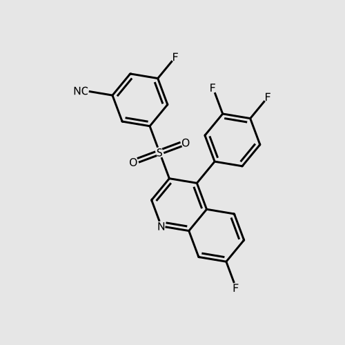 N#Cc1cc(F)cc(S(=O)(=O)c2cnc3cc(F)ccc3c2-c2ccc(F)c(F)c2)c1